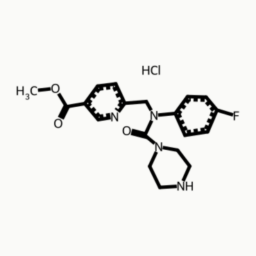 COC(=O)c1ccc(CN(C(=O)N2CCNCC2)c2ccc(F)cc2)nc1.Cl